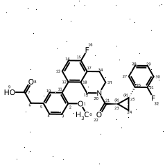 COc1ccc(CC(=O)O)cc1-c1ccc(F)c2c1CN(C(=O)[C@@H]1C[C@H]1c1ccccc1F)CC2